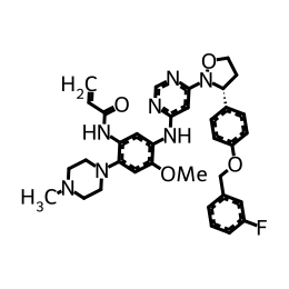 C=CC(=O)Nc1cc(Nc2cc(N3OCC[C@@H]3c3ccc(OCc4cccc(F)c4)cc3)ncn2)c(OC)cc1N1CCN(C)CC1